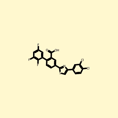 O=C(O)c1cc(-c2nc(-c3ccc(Cl)c(Cl)c3)cs2)ccc1-c1cc(F)cc(F)c1F